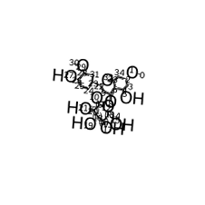 COc1cc(O)c2c(=O)c(O[C@@H]3O[C@H](CO)[C@@H](O)[C@H](O)[C@H]3O)c(-c3ccc(O)c(OC)c3)oc2c1